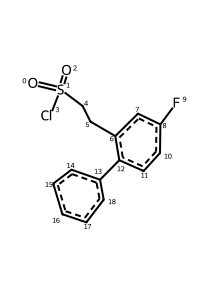 O=S(=O)(Cl)CCc1cc(F)ccc1-c1ccccc1